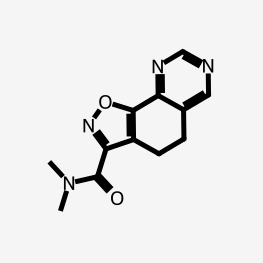 CN(C)C(=O)c1noc2c1CCc1cncnc1-2